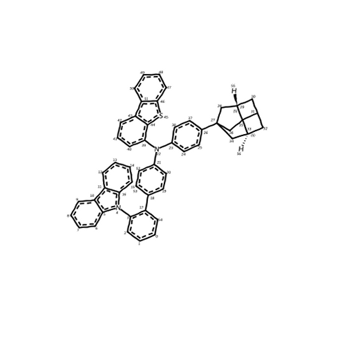 c1ccc(-n2c3ccccc3c3ccccc32)c(-c2ccc(N(c3ccc(C45C[C@@H]6CC7C[C@@H](C4)C76C5)cc3)c3cccc4c3sc3ccccc34)cc2)c1